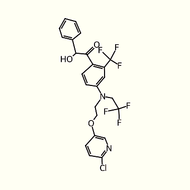 O=C(c1ccc(N(CCOc2ccc(Cl)nc2)CC(F)(F)F)cc1C(F)(F)F)C(O)c1ccccc1